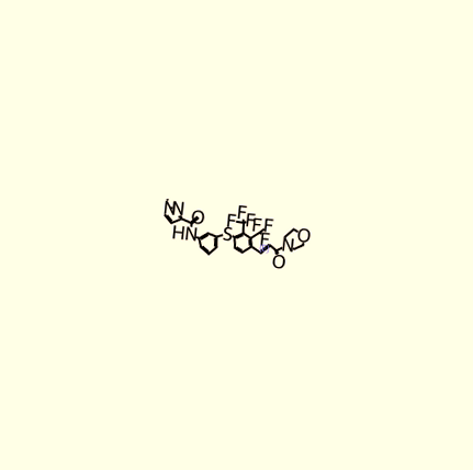 Cn1ccc(C(=O)Nc2cccc(Sc3ccc(/C=C/C(=O)N4CCOCC4)c(C(F)(F)F)c3C(F)(F)F)c2)n1